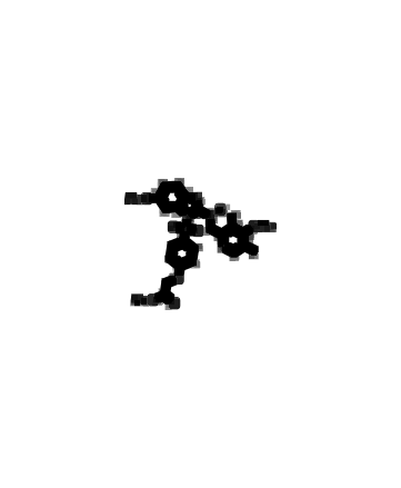 COC(=O)COc1ccc(S(=O)(=O)n2c([S@@+]([O-])Cc3ncc(C)c(OC)c3C)nc3ccc(OC)cc32)cc1